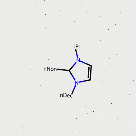 CCCCCCCCCCN1C=CN(C(C)C)C1CCCCCCCCC